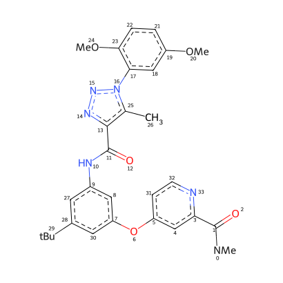 CNC(=O)c1cc(Oc2cc(NC(=O)c3nnn(-c4cc(OC)ccc4OC)c3C)cc(C(C)(C)C)c2)ccn1